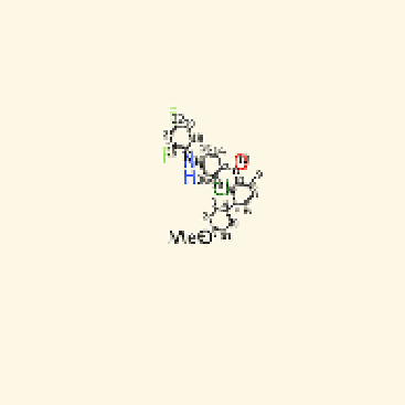 COc1ccc(-c2ccc(C)c(C(=O)c3ccc(Nc4ccc(F)cc4F)cc3Cl)c2)cc1